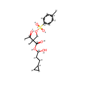 CC(=O)C(C)(COS(=O)(=O)c1ccc(C)cc1)C(=O)OC(O)CCC1CC1